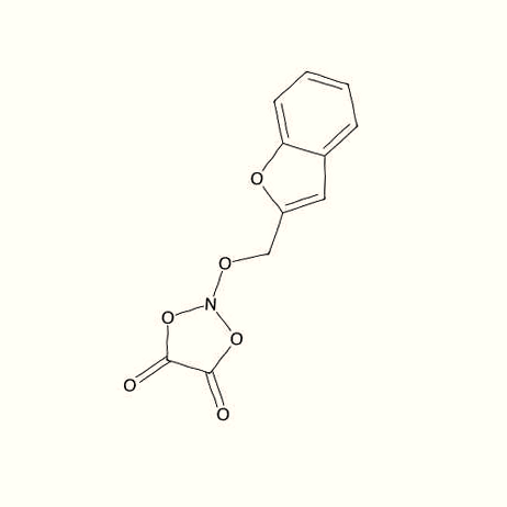 O=c1on(OCc2cc3ccccc3o2)oc1=O